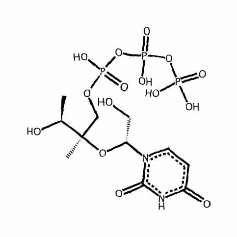 C[C@H](O)[C@@](C)(COP(=O)(O)OP(=O)(O)OP(=O)(O)O)O[C@H](CO)n1ccc(=O)[nH]c1=O